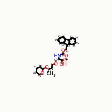 C[C@@H](CCOC[C@H](NC(=O)OCC1c2ccccc2-c2ccccc21)C(=O)O)OC1CCCCO1